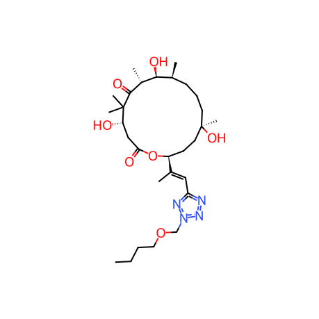 CCCCOCn1nnc(/C=C(\C)[C@@H]2CC[C@](C)(O)CCC[C@H](C)[C@H](O)[C@@H](C)C(=O)C(C)(C)[C@@H](O)CC(=O)O2)n1